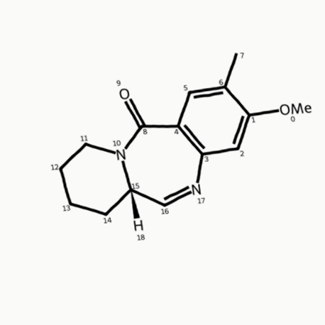 COc1cc2c(cc1C)C(=O)N1CCCC[C@H]1C=N2